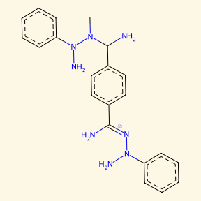 CN(C(N)c1ccc(/C(N)=N/N(N)c2ccccc2)cc1)N(N)c1ccccc1